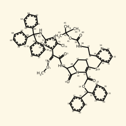 CON=C(C(=O)NC1C(=O)N2C(C(=O)OC(c3ccccc3)c3ccccc3)=C(Sc3cccnc3CCNC(=O)OC(C)(C)C)CCC12)c1nc(NC(c2ccccc2)(c2ccccc2)c2ccccc2)sc1Cl